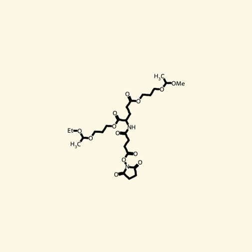 CCOC(C)OCCCOC(=O)C(CCC(=O)OCCCOC(C)OC)NC(=O)CCC(=O)ON1C(=O)CCC1=O